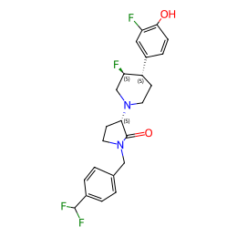 O=C1[C@@H](N2CC[C@@H](c3ccc(O)c(F)c3)[C@H](F)C2)CCN1Cc1ccc(C(F)F)cc1